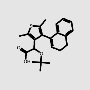 Cc1sc(C)c(C(OC(C)(C)C)C(=O)O)c1C1=CCCc2ccccc21